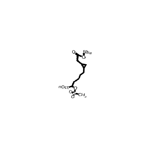 CCCCCCCCC(CCCCC1CC1CC(=O)OC(C)(C)C)OS(C)(=O)=O